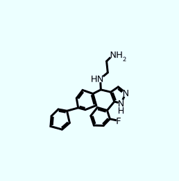 NCCNC(c1ccc(-c2ccccc2)cc1)c1cn[nH]c1-c1ccccc1F